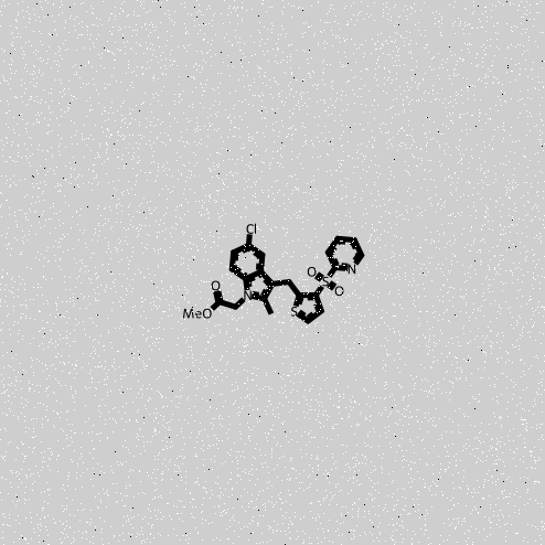 COC(=O)Cn1c(C)c(Cc2sccc2S(=O)(=O)c2ccccn2)c2cc(Cl)ccc21